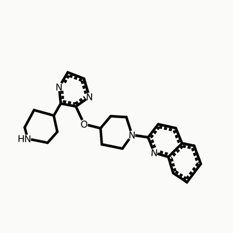 c1ccc2nc(N3CCC(Oc4nccnc4C4CCNCC4)CC3)ccc2c1